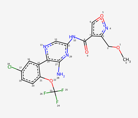 COCc1nocc1C(=O)Nc1cnc(-c2cc(Cl)ccc2OC(F)(F)F)c(N)n1